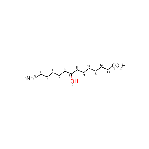 CCCCCCCCCCCCCCC(O)CCCCCCC(=O)O